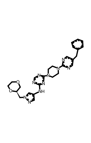 c1ccc(Cc2cnc(N3CCN(c4ncnc(Nc5cnn(C[C@@H]6COCCO6)c5)n4)CC3)nc2)cc1